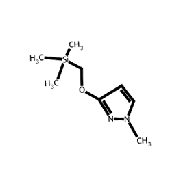 Cn1ccc(OC[Si](C)(C)C)n1